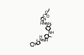 CCOC(=O)Cc1csc(NNc2ccc(Nc3ccc(NNc4ccc(N5CCCC5)s4)cc3C)cc2C)n1